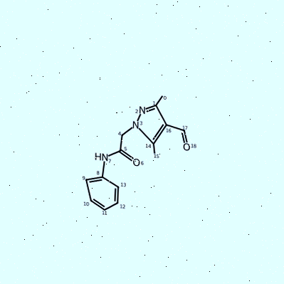 Cc1nn(CC(=O)Nc2ccccc2)c(C)c1C=O